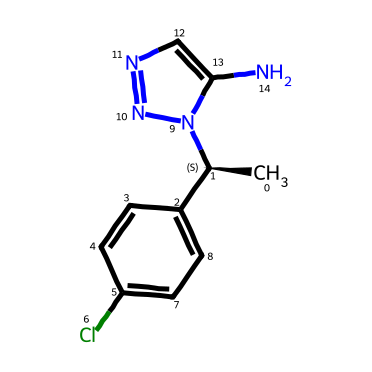 C[C@@H](c1ccc(Cl)cc1)n1nncc1N